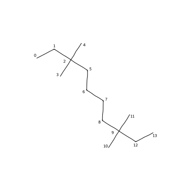 CCC(C)(C)CCCCC(C)(C)CC